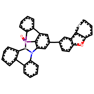 O=P12B3c4ccccc4-c4ccccc4N3c3cc(-c4ccc5oc6ccccc6c5c4)cc(c31)-c1ccccc12